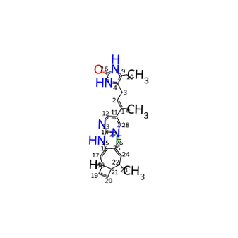 C/C(=C\Cc1[nH]c(=O)[nH]c1C)c1cnc(NC2=C[C@H]3C=CC3[C@@H](C)C=C2F)nc1